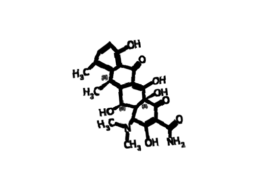 Cc1ccc(O)c2c1[C@H](C)C1C(=C(O)[C@]3(O)C(=O)C(C(N)=O)=C(O)C(N(C)C)C3[C@H]1O)C2=O